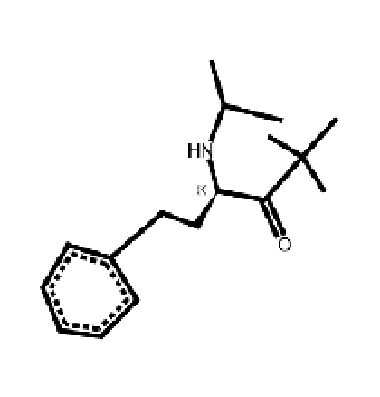 CC(C)N[C@H](CCc1ccccc1)C(=O)C(C)(C)C